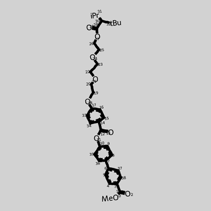 COC(=O)c1ccc(-c2ccc(OC(=O)c3ccc(OCCOCCOCCOC(=O)C(C(C)C)C(C)(C)C)cc3)cc2)cc1